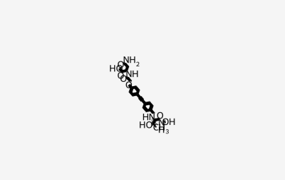 C[C@@H](O)[C@H](NCc1ccc(C#Cc2ccc(OCC(=O)NC(CC(N)=O)C(=O)O)cc2)cc1)C(=O)NO